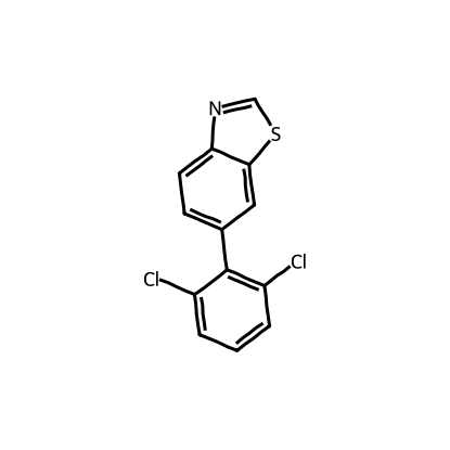 Clc1cccc(Cl)c1-c1ccc2ncsc2c1